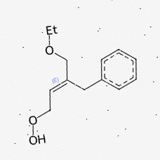 CCOC/C(=C/COO)Cc1ccccc1